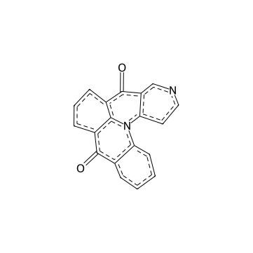 O=c1c2ccccc2n2c3ccncc3c(=O)c3cccc1c32